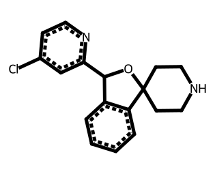 Clc1ccnc(C2OC3(CCNCC3)c3ccccc32)c1